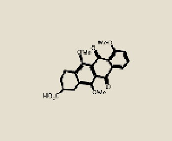 COc1cccc2c1C(=O)c1c(OC)c3c(c(OC)c1C2=O)CC(C(=O)O)CC3